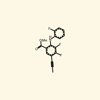 CC#Cc1cc(C(=O)OC)c(Nc2ccccc2F)c(F)c1F